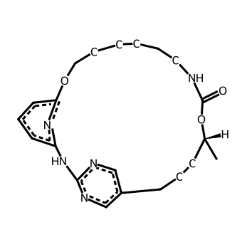 C[C@@H]1CCCc2cnc(nc2)Nc2cccc(n2)OCCCCCCNC(=O)O1